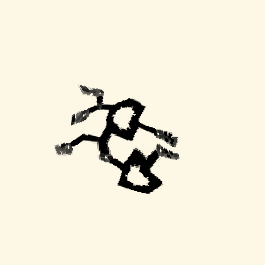 COc1cccc(O[C@@H](CO)c2cc(OC)ccc2B(O)O)c1